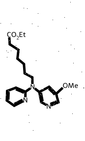 CCOC(=O)CCCCCCN(c1cncc(OC)c1)c1ccccn1